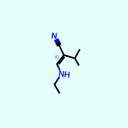 CCN/C=C(/C#N)C(C)C